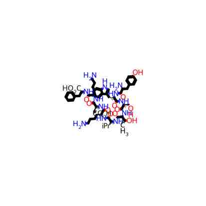 CC(C)[C@H](NC(=O)[C@@H](NC(=O)[C@H](CO)NC(=O)[C@H](Cc1c[nH]c2ccccc12)NC(=O)[C@@H](N)Cc1ccc(O)cc1)[C@@H](C)O)C(=O)N[C@@H](CCCCN)C(=O)N[C@@H](CC(=O)O)C(=O)N[C@@H](CCCCN)C(=O)N[C@@H](Cc1ccccc1)C(=O)O